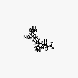 CCS(=O)(=O)N1CC(CC#N)(N2CCN(c3cc(NC(=O)C4CC4)nc4[nH]ccc34)CC2)C1